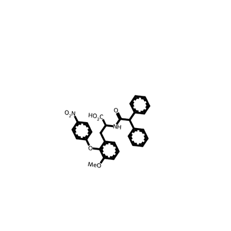 COc1cccc(CC(NC(=O)C(c2ccccc2)c2ccccc2)C(=O)O)c1Oc1ccc([N+](=O)[O-])cc1